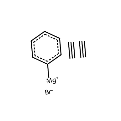 C#C.C#C.[Br-].[Mg+][c]1ccccc1